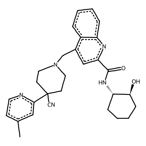 Cc1ccnc(C2(C#N)CCN(Cc3cc(C(=O)N[C@H]4CCCC[C@@H]4O)nc4ccccc34)CC2)c1